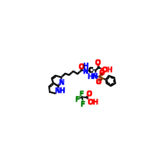 O=C(CCCCC1C=CC2=CCCNC2=N1)NCC(NS(=O)(=O)c1ccccc1)C(=O)O.O=C(O)C(F)(F)F